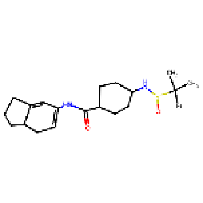 CCC(C)(C)[S+]([O-])NC1CCC(C(=O)NC2=CCC3CCCC3=C2)CC1